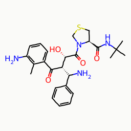 Cc1c(N)cccc1C(=O)[C@@H](C(N)c1ccccc1)[C@H](O)C(=O)N1CSC[C@H]1C(=O)NC(C)(C)C